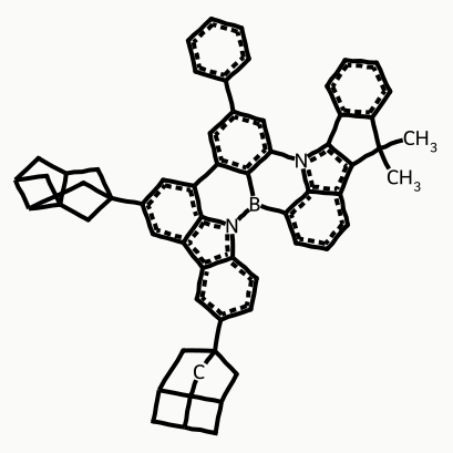 CC1(C)c2ccccc2-c2c1c1cccc3c1n2-c1cc(-c2ccccc2)cc2c1B3n1c3ccc(C45CC6CC7CC(C4)C76C5)cc3c3cc(C45CC6CC7CC6(C4)C7C5)cc-2c31